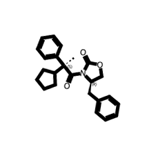 C[C@@](C(=O)N1C(=O)OC[C@H]1Cc1ccccc1)(c1ccccc1)C1CCCC1